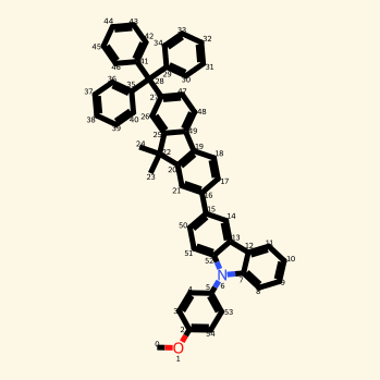 COc1ccc(-n2c3ccccc3c3cc(-c4ccc5c(c4)C(C)(C)c4cc(C(c6ccccc6)(c6ccccc6)c6ccccc6)ccc4-5)ccc32)cc1